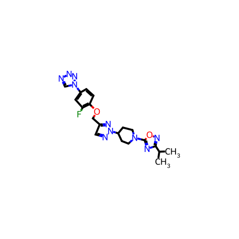 CC(C)c1noc(N2CCC(n3ncc(COc4ccc(-n5cnnn5)cc4F)n3)CC2)n1